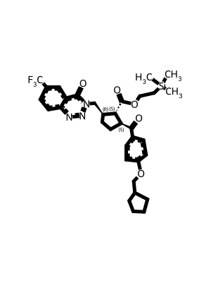 C[Si](C)(C)CCOC(=O)[C@H]1[C@H](Cn2nnc3ccc(C(F)(F)F)cc3c2=O)CC[C@@H]1C(=O)c1ccc(OCC2CCCC2)cc1